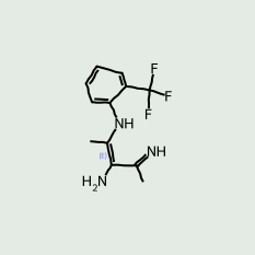 CC(=N)/C(N)=C(/C)Nc1ccccc1C(F)(F)F